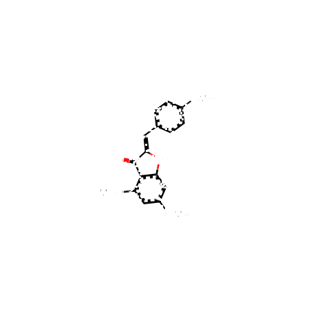 COc1cc(OC)c2c(c1)O/C(=C\c1ccc(SC)cc1)C2=O